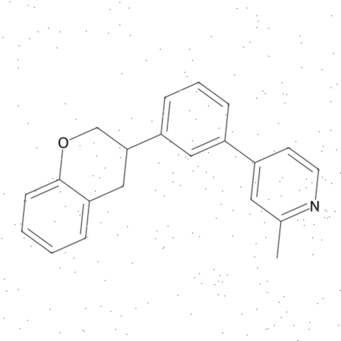 Cc1cc(-c2cccc(C3COc4ccccc4C3)c2)ccn1